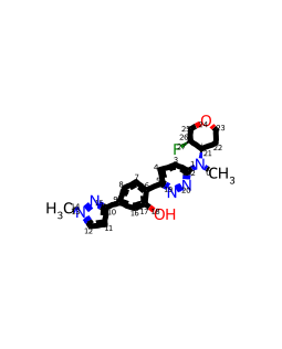 CN(c1ccc(-c2ccc(-c3ccn(C)n3)cc2O)nn1)[C@@H]1CCOC[C@@H]1F